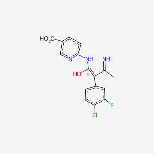 CC(=N)/C(=C(/O)Nc1ccc(C(=O)O)cn1)c1ccc(Cl)c(F)c1